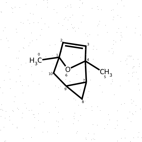 CC12C=CC(C)(O1)C1CC1C2